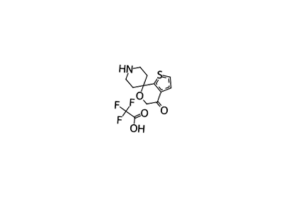 O=C(O)C(F)(F)F.O=C1COC2(CCNCC2)c2sccc21